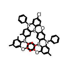 Cc1cc(C)c2c(c1)Oc1ccccc1B2c1cc2c(cc1C)N(c1ccccc1)c1cc(Cl)cc3c1B2c1cc2c(cc1O3)N(c1ccccc1)c1cc(C)cc3c1B2c1ccccc1O3